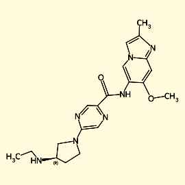 CCN[C@@H]1CCN(c2cnc(C(=O)Nc3cn4cc(C)nc4cc3OC)cn2)C1